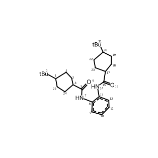 CC(C)(C)C1CCC(C(=O)Nc2ccccc2NC(=O)C2CCC(C(C)(C)C)CC2)CC1